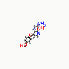 NC(O)/C=C\c1cnccc1Oc1ccc(O)cc1